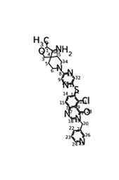 C[C@@H]1OCC2(CCN(c3cnc(Sc4ccc5ncn(Cc6cccnc6)c(=O)c5c4Cl)cn3)CC2)[C@@H]1N